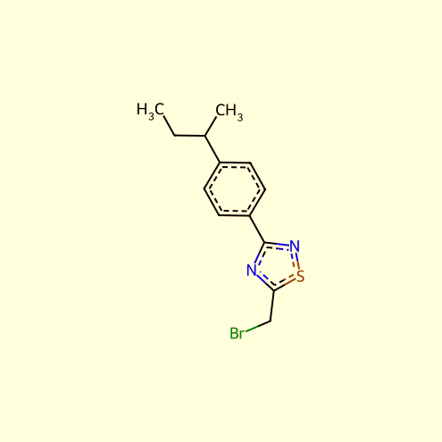 CCC(C)c1ccc(-c2nsc(CBr)n2)cc1